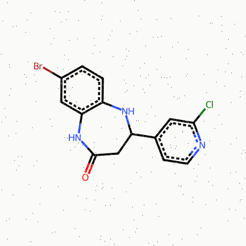 O=C1CC(c2ccnc(Cl)c2)Nc2ccc(Br)cc2N1